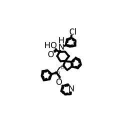 O=C(O)C1(Nc2cccc(Cl)c2)CCC2(CC1)c1ccccc1C[C@@H]2C[C@@H](COc1cccnc1)c1ccccc1